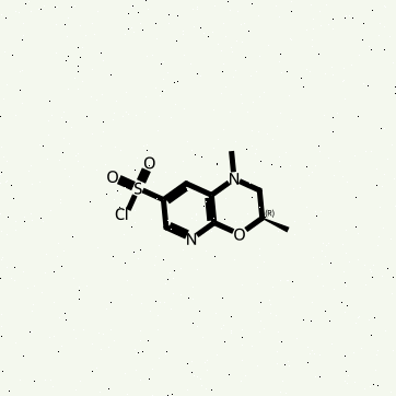 C[C@@H]1CN(C)c2cc(S(=O)(=O)Cl)cnc2O1